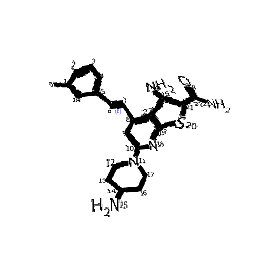 Cc1cccc(/C=C/c2cc(N3CCC(N)CC3)nc3sc(C(N)=O)c(N)c23)c1